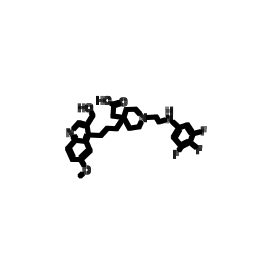 COc1ccc2ncc(CO)c(CCCC3(CC(=O)O)CCN(CCNc4cc(F)c(F)c(F)c4)CC3)c2c1